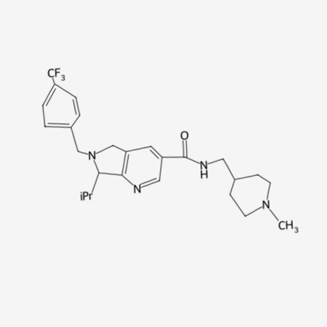 CC(C)C1c2ncc(C(=O)NCC3CCN(C)CC3)cc2CN1Cc1ccc(C(F)(F)F)cc1